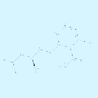 CC(C)C[C@H](N)COc1cccc(N)c1C(N)=O